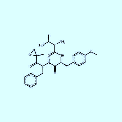 COc1ccc(C[C@H](NC(=O)[C@@H](N)[C@H](C)O)C(=O)NC(Cc2ccccc2)C(=O)[C@@]2(C)CO2)cc1